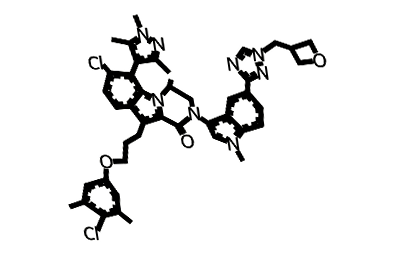 Cc1cc(OCCCc2c3n(c4c(-c5c(C)nn(C)c5C)c(Cl)ccc24)C(C)CN(c2cn(C)c4ccc(-c5ncn(CC6COC6)n5)cc24)C3=O)cc(C)c1Cl